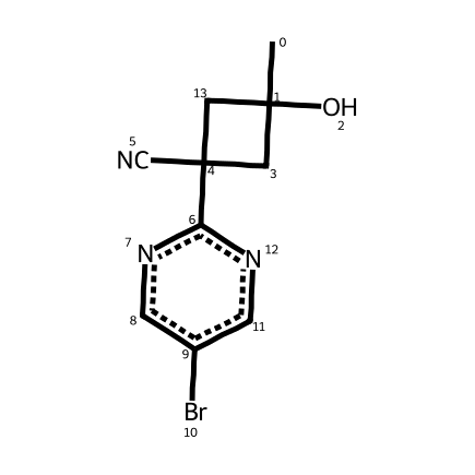 CC1(O)CC(C#N)(c2ncc(Br)cn2)C1